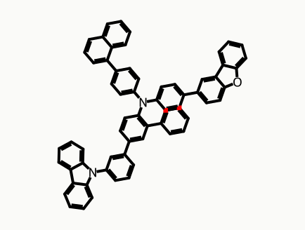 c1ccc(-c2cc(-c3cccc(-n4c5ccccc5c5ccccc54)c3)ccc2N(c2ccc(-c3ccc4oc5ccccc5c4c3)cc2)c2ccc(-c3cccc4ccccc34)cc2)cc1